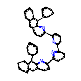 c1ccc(-c2c3ccccc3cc3ccc(-c4cccc(-c5cccc(-c6ccc7cc8ccccc8c(-c8ccccc8)c7n6)n5)n4)nc23)cc1